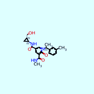 CNC(=O)c1cc(C(=O)N[C@H]2C[C@@H]2CO)cn([C@@H](C)c2cccc(C)c2)c1=O